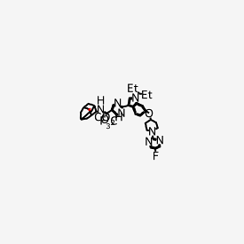 CCC(CC)n1cc(-c2ncc(C(=O)NC3(C(=O)O)C4CC5CC(C4)CC3C5)c(C(F)(F)F)n2)c2ccc(OC3CCN(c4ncc(F)cn4)CC3)cc21